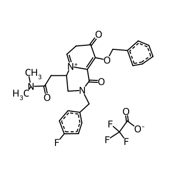 CN(C)C(=O)CC1CN(Cc2ccc(F)cc2)C(=O)C2=C(OCc3ccccc3)C(=O)CC=[N+]21.O=C([O-])C(F)(F)F